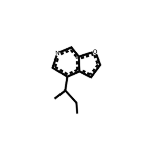 CCC(C)c1cncc2occc12